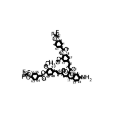 COc1cc(/C=C/C(=O)CC(Cc2ccc(N)cc2)C(O)(O)C(=O)/C=C/c2ccc(OC(=O)c3ccc(OC(F)(F)F)cc3)c(OC)c2)ccc1OC(=O)c1ccc(OC(F)(F)F)cc1